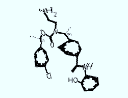 C=C(Nc1ccccc1O)c1ccc([C@@H](C)N(CCN)C(=O)O[C@@H](C)c2ccc(Cl)cc2)cc1